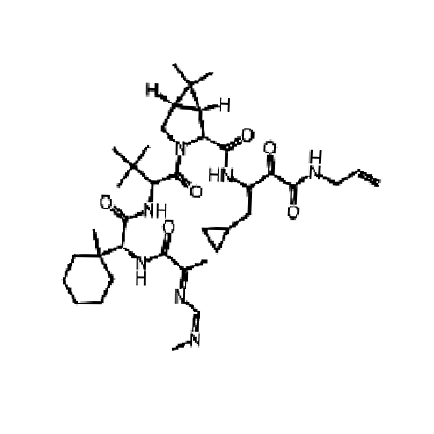 C=CCNC(=O)C(=O)C(CC1CC1)NC(=O)[C@@H]1[C@@H]2[C@H](CN1C(=O)[C@@H](NC(=O)[C@@H](NC(=O)/C(C)=N/C=N\C)C1(C)CCCCC1)C(C)(C)C)C2(C)C